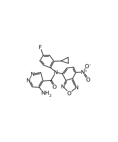 Nc1cnncc1C(=O)N(c1ccc(F)cc1C1CC1)c1ccc([N+](=O)[O-])c2nonc12